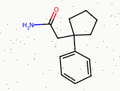 NC(=O)CC1(c2ccccc2)CCCC1